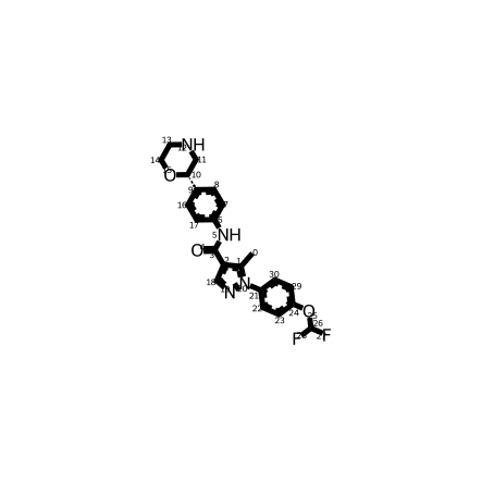 Cc1c(C(=O)Nc2ccc([C@H]3CNCCO3)cc2)cnn1-c1ccc(OC(F)F)cc1